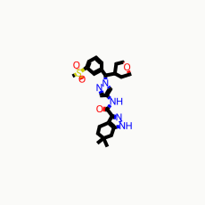 CC1(C)CCc2c(C(=O)Nc3cnn(C(c4cccc(S(C)(=O)=O)c4)C4CCOCC4)c3)n[nH]c2C1